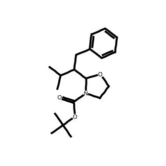 CC(C)C(Cc1ccccc1)C1OCCN1C(=O)OC(C)(C)C